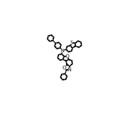 c1ccc(-c2ccc(N(c3ccc4c(c3)sc3ccccc34)c3cccc4c3oc3ccc5nc(-c6ccccc6)oc5c34)cc2)cc1